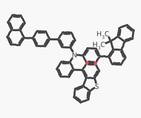 CC1(C)c2ccccc2-c2cccc(-c3ccc(N(c4cccc(-c5ccc(-c6cccc7ccccc67)cc5)c4)c4ccccc4-c4cccc5sc6ccccc6c45)cc3)c21